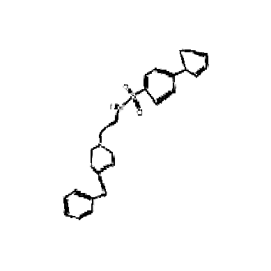 O=S(=O)(NCCN1CCC(Cc2ccccc2)CC1)c1ccc(C2C=CC=CC2)cc1